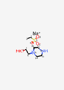 CCS(=O)(=O)[O-].OCCN1CCNCC1.[Na+]